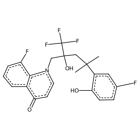 CC(C)(CC(O)(Cn1ccc(=O)c2cccc(F)c21)C(F)(F)F)c1cc(F)ccc1O